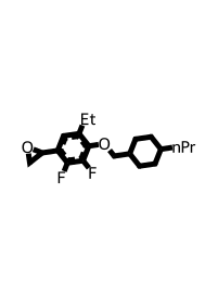 CCCC1CCC(COc2c(CC)cc(C3CO3)c(F)c2F)CC1